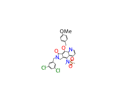 COc1ccc(COc2c3c(c(N(C)S(C)(=O)=O)c4cccnc24)CN(Cc2cc(Cl)cc(Cl)c2)C3=O)cc1